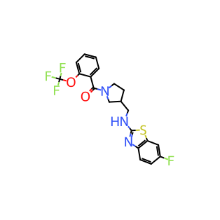 O=C(c1ccccc1OC(F)(F)F)N1CCC(CNc2nc3ccc(F)cc3s2)C1